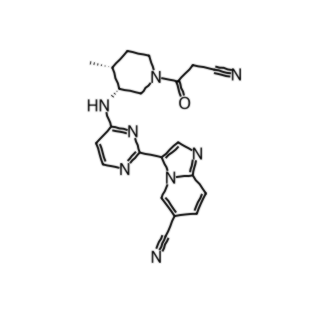 C[C@@H]1CCN(C(=O)CC#N)C[C@@H]1Nc1ccnc(-c2cnc3ccc(C#N)cn23)n1